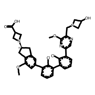 COc1cc(-c2cccc(-c3cccc(-c4cnc(CN5CC(O)C5)c(OC)n4)c3Cl)c2Cl)cc2c1C[C@@H](N1CC(C(=O)O)C1)C2